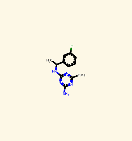 COc1nc(N)nc(NC(C)c2cccc(Cl)c2)n1